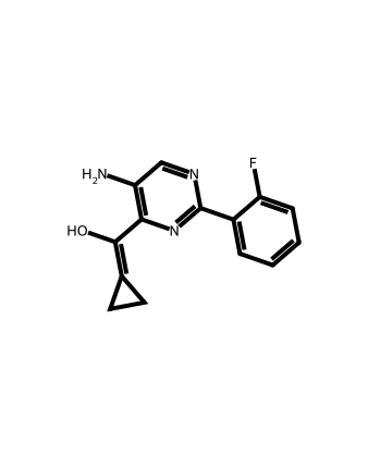 Nc1cnc(-c2ccccc2F)nc1C(O)=C1CC1